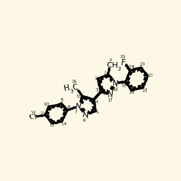 Cc1[c]c(-c2cnn(-c3ccc(Cl)cc3)c2C)nn1-c1ccccc1F